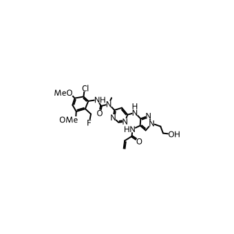 C=CC(=O)Nc1cn(CCO)nc1Nc1cc(N(C)C(=O)Nc2c(Cl)c(OC)cc(OC)c2CF)ncn1